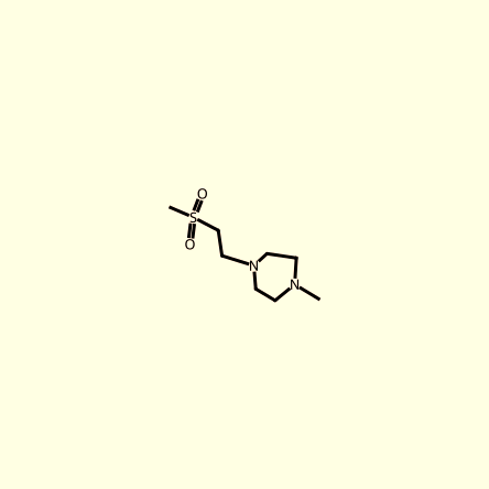 CN1CCN(CCS(C)(=O)=O)CC1